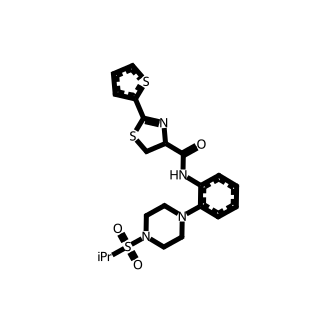 CC(C)S(=O)(=O)N1CCN(c2ccccc2NC(=O)C2CSC(c3cccs3)=N2)CC1